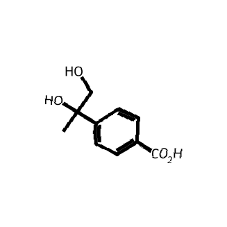 CC(O)(CO)c1ccc(C(=O)O)cc1